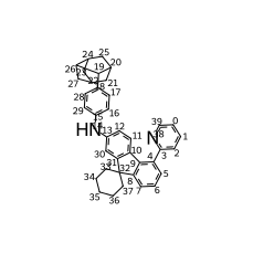 c1ccc(-c2cccc3c2-c2ccc(Nc4ccc(C5C6CC7CC(C6)C5C7)cc4)cc2C32CCCCC2)nc1